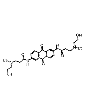 CCN(CCO)CCC(=O)Nc1ccc2c(c1)C(=O)c1ccc(NC(=O)CCN(CC)CCO)cc1C2=O